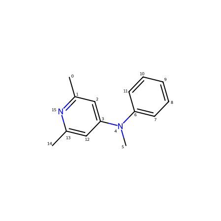 Cc1cc(N(C)c2ccccc2)cc(C)n1